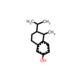 CC(C)C1CCc2cc(O)ccc2C1C